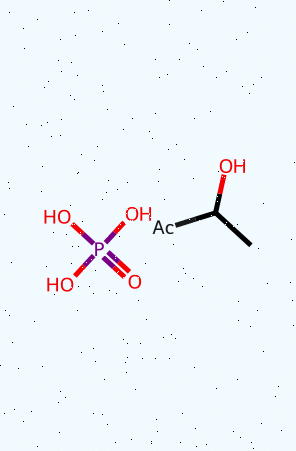 CC(=O)C(C)O.O=P(O)(O)O